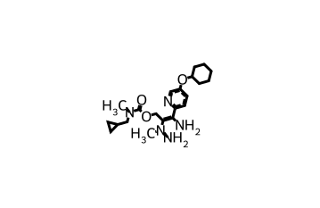 CN(CC1CC1)C(=O)OC/C(=C(/N)c1ccc(OC2CCCCC2)cn1)N(C)N